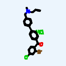 C=CCN(C)Cc1ccc(-c2ccc(C(=O)c3ccc(Cl)cc3Br)cc2)cc1.Cl